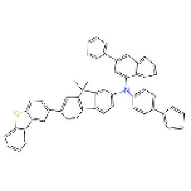 CC1(C)c2cc(-c3ccc4sc5ccccc5c4c3)ccc2-c2ccc(N(c3ccc(-c4ccccc4)cc3)c3cc(-c4ccccc4)cc4ccccc34)cc21